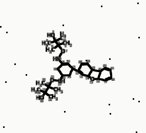 CC(C)(O)C(C)(C)OBC1=CC(C2=CC3OC4C=CC=CC4C3C=C2)CC(BOC(C)(C)C(C)(C)O)C1